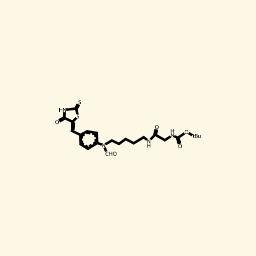 CC(C)(C)OC(=O)NCC(=O)NCCCCCN(C=O)c1ccc(/C=C2\SC(=S)NC2=O)cc1